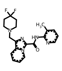 Cc1cccnc1NC(=O)c1nc(CN2CCC(F)(F)CC2)c2ccccn12